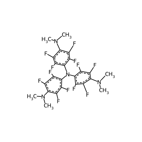 CN(C)c1c(F)c(F)c(N(c2c(F)c(F)c(N(C)C)c(F)c2F)c2c(F)c(F)c(N(C)C)c(F)c2F)c(F)c1F